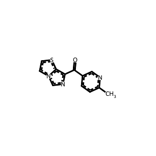 Cc1ccc(C(=O)c2ncn3ccsc23)cn1